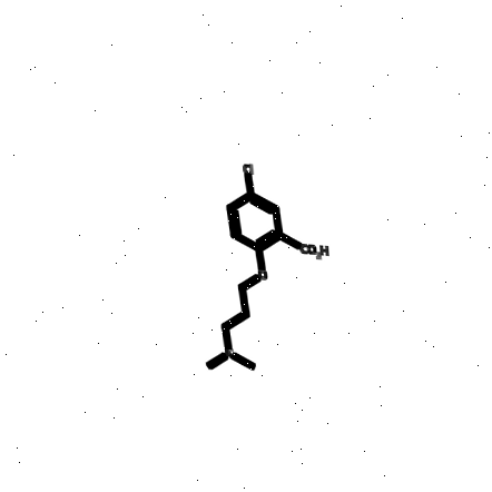 CN(C)CCCOc1ccc(Cl)cc1C(=O)O